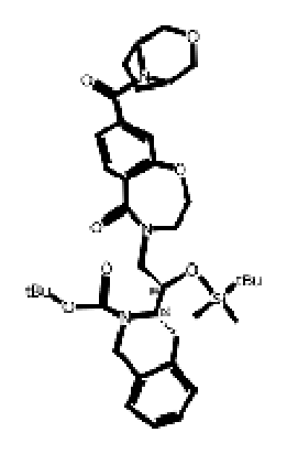 CC(C)(C)OC(=O)N1Cc2ccccc2C[C@H]1[C@@H](CN1CCOc2cc(C(=O)N3C4CCC3COC4)ccc2C1=O)O[Si](C)(C)C(C)(C)C